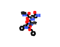 CCC[C@H](NC(=O)[C@@H](Cc1ccccc1)NC(=O)OCc1ccccc1)C(=O)N[C@@H](C[C@@H]1CCNC1=O)C(=O)C(=O)NC(C)(C)C